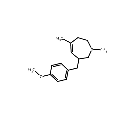 COc1ccc(CC2C=C(C)CCN(C)C2)cc1